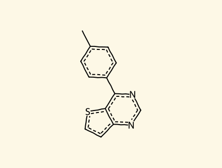 Cc1ccc(-c2ncnc3ccsc23)cc1